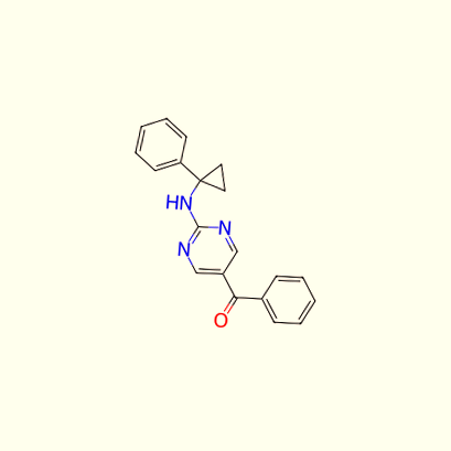 O=C(c1ccccc1)c1cnc(NC2(c3ccccc3)CC2)nc1